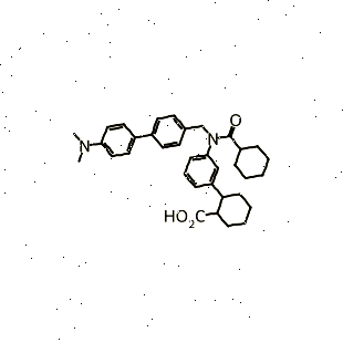 CN(C)c1ccc(-c2ccc(CN(C(=O)C3CCCCC3)c3cccc(C4CCCCC4C(=O)O)c3)cc2)cc1